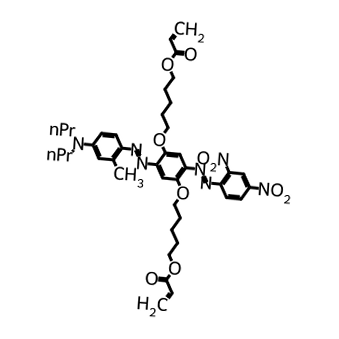 C=CC(=O)OCCCCCOc1cc(/N=N/c2ccc([N+](=O)[O-])cc2[N+](=O)[O-])c(OCCCCCOC(=O)C=C)cc1/N=N/c1ccc(N(CCC)CCC)cc1C